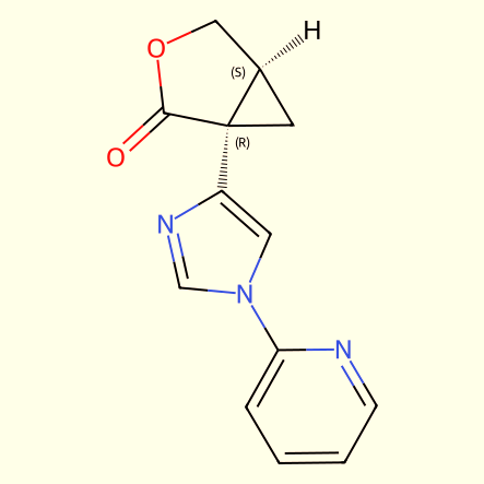 O=C1OC[C@H]2C[C@@]12c1cn(-c2ccccn2)cn1